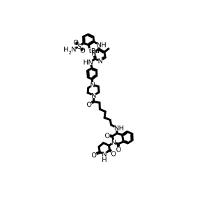 Cc1cnc(Nc2ccc(N3CCN(C(=O)CCCCCCNC4C(=O)N(C5CCC(=O)NC5=O)C(=O)c5ccccc54)CC3)cc2)nc1Nc1cccc(S(N)(=O)=O)c1C(C)(C)C